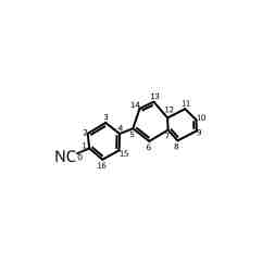 N#Cc1ccc(C2=CC3=CC=CCC3C=C2)cc1